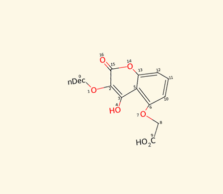 CCCCCCCCCCOc1c(O)c2c(OCC(=O)O)cccc2oc1=O